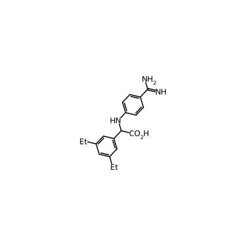 CCc1cc(CC)cc(C(Nc2ccc(C(=N)N)cc2)C(=O)O)c1